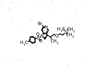 Cc1ccc(S(=O)(=O)n2cc(C(C)COCC[Si](C)(C)C)c3cnc(Br)cc32)cc1